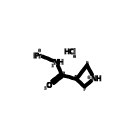 CC(C)NC(=O)C1CNC1.Cl